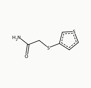 NC(=O)CSc1ccsc1